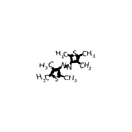 Cc1sc(C)c(/N=N/c2c(C)sc(C)c2C)c1C